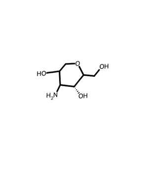 NC1C(O)COC(CO)[C@@H]1O